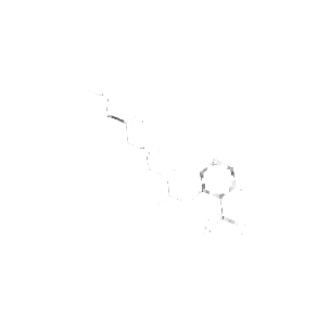 CN/C=C(\S)CNCOC(C)Sc1ccccc1C(N)=O